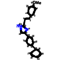 COc1ccc(C=Cc2nc(-c3ccc(-c4ccccc4)cc3)c[nH]2)cc1